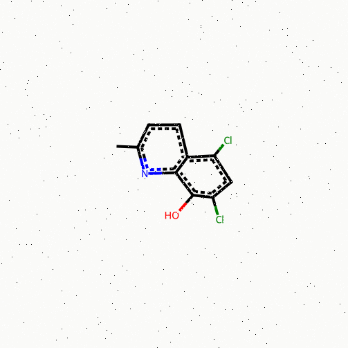 Cc1ccc2c(Cl)cc(Cl)c(O)c2n1